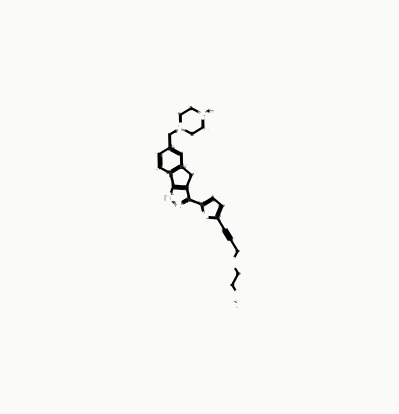 CCOCCOCC#Cc1ccc(-c2n[nH]c3c2Cc2cc(CN4CCN(C)CC4)ccc2-3)s1